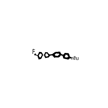 CCCCc1ccc(-c2ccc(C3CCC([C@H]4CC[C@H](CF)CC4)CC3)cc2)cc1